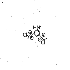 CNc1cc(S(=O)(=O)C(C)Cl)cc(S(=O)(=O)C(C)Cl)c1